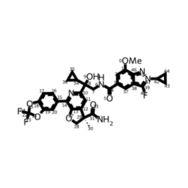 COc1cc(C(=O)NCC(O)(c2cc3c(c(-c4ccc5c(c4)OC(F)(F)O5)n2)OC[C@]3(C)C(N)=O)C2CC2)cc2c(F)n(C3CC3)nc12